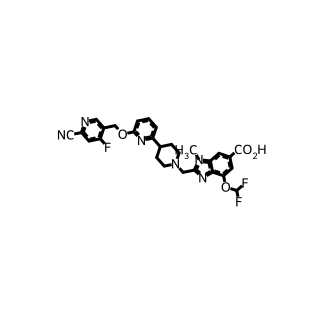 Cn1c(CN2CCC(c3cccc(OCc4cnc(C#N)cc4F)n3)CC2)nc2c(OC(F)F)cc(C(=O)O)cc21